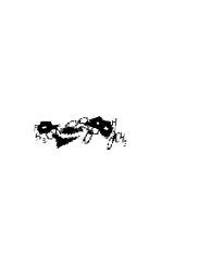 CC(=O)Nc1ccc2c(c1)CCC21OC(=O)N(CC(=O)N(Cc2ccc(F)cc2)[C@@H](C)C2CC2)C1=O